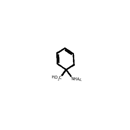 CC(=O)NC1(C(=O)O)C=CC=CC1